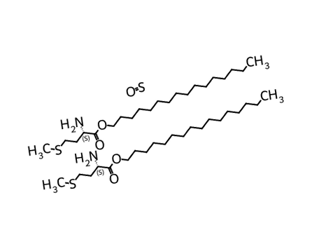 CCCCCCCCCCCCCCCCOC(=O)[C@@H](N)CCSC.CCCCCCCCCCCCCCCCOC(=O)[C@@H](N)CCSC.O=S